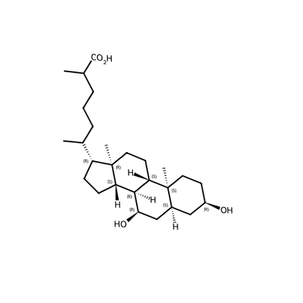 CC(CCCC(C)[C@H]1CC[C@H]2[C@@H]3[C@H](O)C[C@@H]4C[C@H](O)CC[C@]4(C)[C@H]3CC[C@]12C)C(=O)O